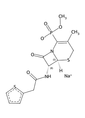 COP(=O)([O-])C1=C(C)CS[C@H]2[C@H](NC(=O)Cc3cccs3)C(=O)N12.[Na+]